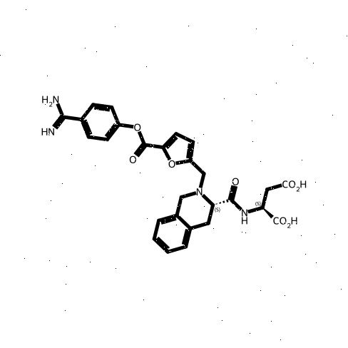 N=C(N)c1ccc(OC(=O)c2ccc(CN3Cc4ccccc4C[C@H]3C(=O)N[C@@H](CC(=O)O)C(=O)O)o2)cc1